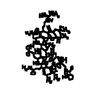 CC[C@H](C)[C@H](NC(=O)[C@H](CCC(=O)O)NC(=O)[C@H](CCC(N)=O)NC(=O)[C@@H](NC(=O)[C@H](CO)NC(=O)CNC(=O)[C@@H]1CCCN1)C(C)C)C(=O)N[C@@H](CC(N)=O)C(=O)N[C@@H](CCCNC(=N)N)C(=O)N[C@@H](CC(C)C)C(=O)O